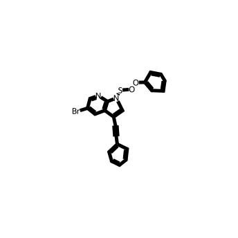 Brc1cnc2c(c1)c(C#Cc1ccccc1)cn2SOOc1ccccc1